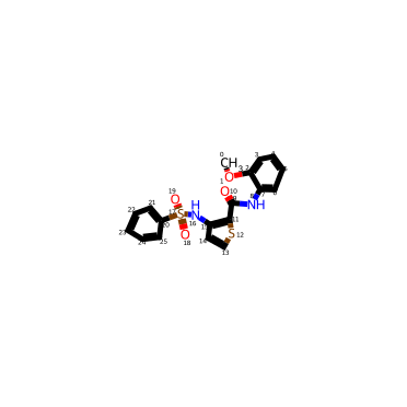 COc1ccccc1NC(=O)c1sccc1NS(=O)(=O)c1ccccc1